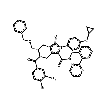 O=C(NCc1ccccc1-c1ncccn1)c1c2n(c(=O)n1-c1ccc(OC3CC3)cc1)C[C@@H](COCc1ccccc1)N(C(=O)c1ccc(Br)c(C(F)(F)F)c1)C2